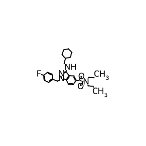 CCCN(CCC)S(=O)(=O)c1ccc2c(c1)c(NCC1CCCCC1)nn2Cc1ccc(F)cc1